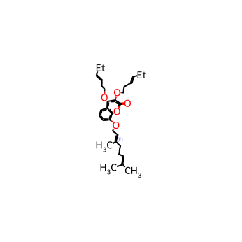 CCC=CCCOc1c(OCCC=CCC)c2cccc(OC/C=C(\C)CCC=C(C)C)c2oc1=O